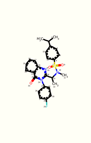 CC(C)c1ccc(S(=O)(=O)N(C)C(C)c2nc3ccccc3c(=O)n2-c2ccc(F)cc2)cc1